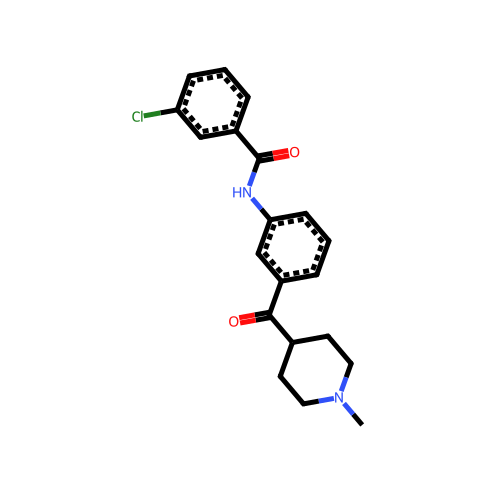 CN1CCC(C(=O)c2cccc(NC(=O)c3cccc(Cl)c3)c2)CC1